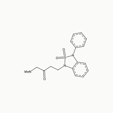 CNCC(=O)CCN1c2ccccc2N(c2ccccc2)S1(=O)=O